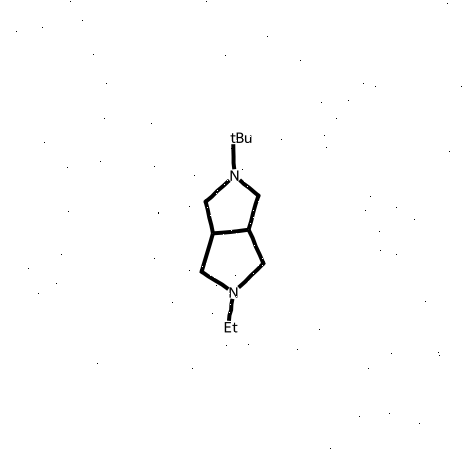 CCN1CC2CN(C(C)(C)C)CC2C1